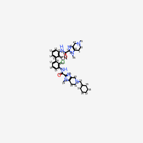 CN1CCc2c(nc(C(=O)Nc3cccc(-c4cccc(NC(=O)c5nc6c(n5C)CCN(CC5CCCCC5)C6)c4Cl)c3C#N)n2C)C1